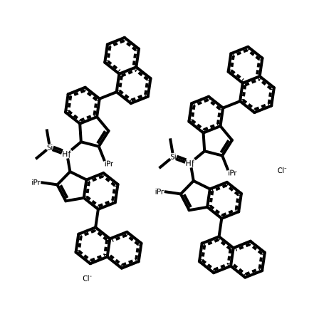 CC(C)C1=Cc2c(-c3cccc4ccccc34)cccc2[CH]1[Hf]([CH]1C(C(C)C)=Cc2c(-c3cccc4ccccc34)cccc21)=[Si](C)C.CC(C)C1=Cc2c(-c3cccc4ccccc34)cccc2[CH]1[Hf]([CH]1C(C(C)C)=Cc2c(-c3cccc4ccccc34)cccc21)=[Si](C)C.[Cl-].[Cl-]